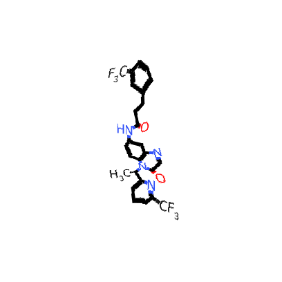 C[C@@H](c1cccc(C(F)(F)F)n1)n1c(=O)cnc2cc(NC(=O)CCc3cccc(C(F)(F)F)c3)ccc21